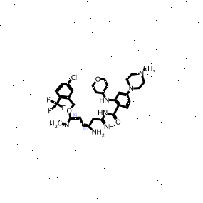 C=N/C(=C\C=C(\N)CC(=N)NC(=O)c1ccc(N2CCN(C)CC2)cc1NC1CCOCC1)OCc1cc(Cl)ccc1C(F)(F)F